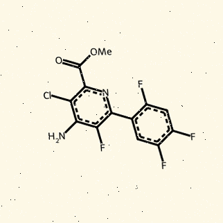 COC(=O)c1nc(-c2cc(F)c(F)cc2F)c(F)c(N)c1Cl